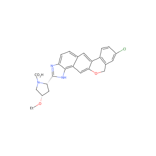 CCO[C@H]1C[C@@H](c2nc3ccc4cc5c(cc4c3[nH]2)OCc2cc(Cl)ccc2-5)N(C(=O)O)C1